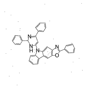 C1=C(n2c3ccccc3c3cc4oc(-c5ccccc5)nc4cc32)NC(c2ccccc2)N=C1c1ccccc1